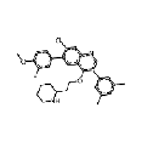 COc1ccc(-c2cc3c(OCCC4CCCCN4)c(-c4cc(C)cc(C)c4)cnc3cc2Cl)cc1F